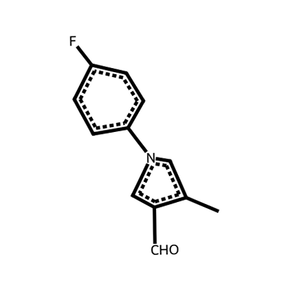 Cc1cn(-c2ccc(F)cc2)cc1C=O